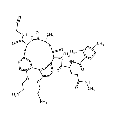 CNC(=O)CC[C@H](NC(=O)c1ccc(C)cc1C)C(=O)N(C)[C@@H]1C(=O)N[C@@H](C)C(=O)N[C@H](C(=O)NCC#N)Cc2ccc(OCCN)c(c2)-c2cc1ccc2OCCN